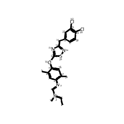 CCN(C)C=Nc1cc(C)c(Oc2nc(Cc3ccc(Cl)c(Cl)c3)ns2)cc1C